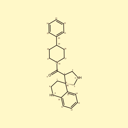 O=C(C1CNC[C@]12CCNc1ccccc12)N1CCC(c2ccccc2)CC1